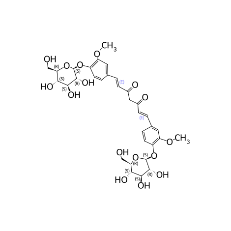 COc1cc(/C=C/C(=O)CC(=O)/C=C/c2ccc(O[C@@H]3O[C@H](CO)[C@@H](O)[C@H](O)[C@H]3O)c(OC)c2)ccc1O[C@@H]1O[C@H](CO)[C@@H](O)[C@H](O)[C@H]1O